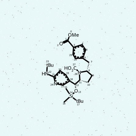 COC(=O)c1ccc(C[C@@H]2CC[C@H]([C@H](O[Si](C)(C)C(C)(C)C)c3ccc(NC(C)(C)C)nc3)N2C(=O)O)cc1